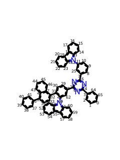 c1ccc(-c2nc(-c3cccc(-n4c5ccccc5c5ccccc54)c3)nc(-c3ccc(-c4ccc(-c5ccccc5)c5ccccc45)c(-n4c5ccccc5c5ccccc54)c3)n2)cc1